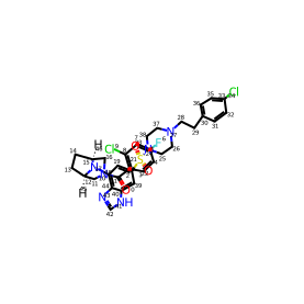 O=C(c1ccc(F)cc1Cl)N1C[C@H]2CC[C@@H](C1)N2c1cc(S(=O)(=O)N2CCN(CCc3ccc(Cl)cc3)CC2)cc2[nH]cnc12